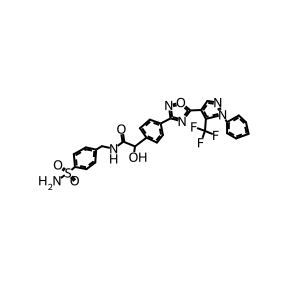 NS(=O)(=O)c1ccc(CNC(=O)C(O)c2ccc(-c3noc(-c4cnn(-c5ccccc5)c4C(F)(F)F)n3)cc2)cc1